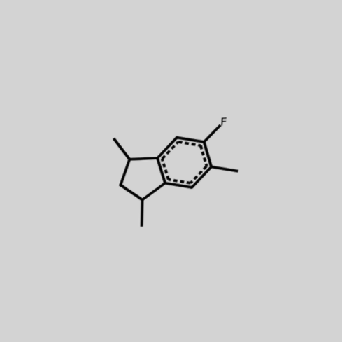 Cc1cc2c(cc1F)C(C)CC2C